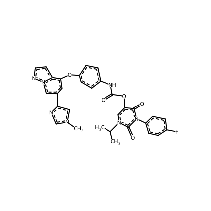 CC(C)n1cc(OC(=O)Nc2ccc(Oc3cc(-c4cn(C)cn4)cn4nccc34)cc2)c(=O)n(-c2ccc(F)cc2)c1=O